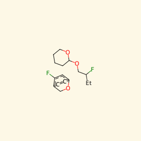 CCC(F)COC1CCCCO1.Fc1cc2ccc1CO2